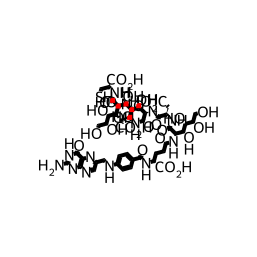 Nc1nc2ncc(CNc3ccc(C(=O)N[C@@H](CCC(=O)N[C@H](C(=O)N[C@@H](CC(=O)O)C(=O)N[C@H](C(=O)N[C@@H](CC(=O)O)C(=O)N[C@H](C(=O)N[C@H](CS)C(=O)O)[C@@H](O)[C@H](O)[C@H](O)CO)[C@@H](O)[C@H](O)[C@H](O)CO)[C@@H](O)C(O)[C@H](O)CO)C(=O)O)cc3)nc2c(=O)[nH]1